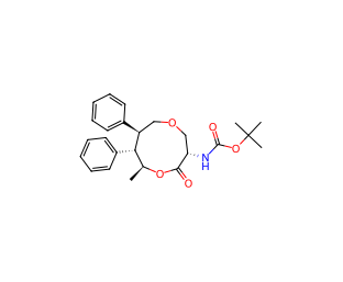 C[C@@H]1OC(=O)[C@@H](NC(=O)OC(C)(C)C)COC[C@H](c2ccccc2)[C@H]1c1ccccc1